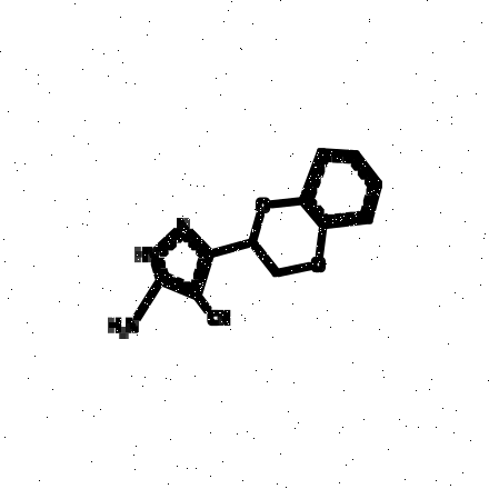 N#Cc1c(C2COc3ccccc3O2)n[nH]c1N